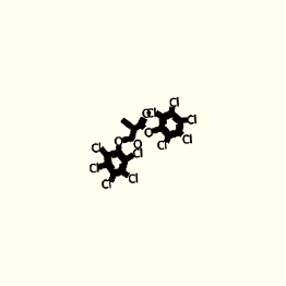 CC(C(=O)Oc1c(Cl)c(Cl)c(Cl)c(Cl)c1Cl)C(=O)Oc1c(Cl)c(Cl)c(Cl)c(Cl)c1Cl